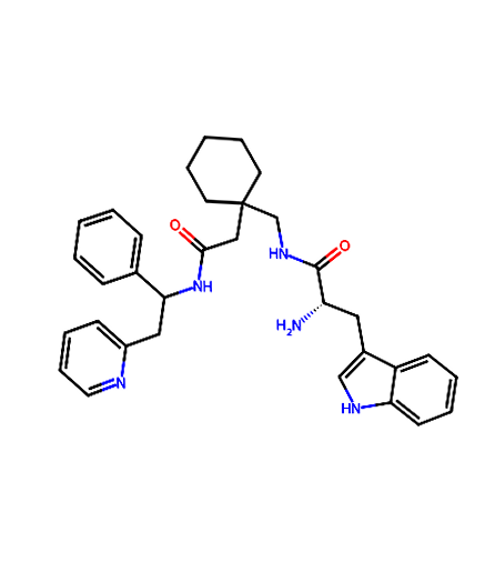 N[C@@H](Cc1c[nH]c2ccccc12)C(=O)NCC1(CC(=O)NC(Cc2ccccn2)c2ccccc2)CCCCC1